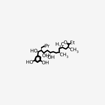 CCC(=O)[C@@H](C)C[C@@H](C)C[C@@H](C)CC[C@H](O)C[C@H](O)[C@H](CC(C)C)[C@H](O)c1cc(O)cc(O)c1